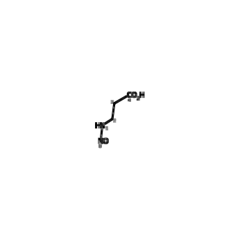 O=NNCCC(=O)O